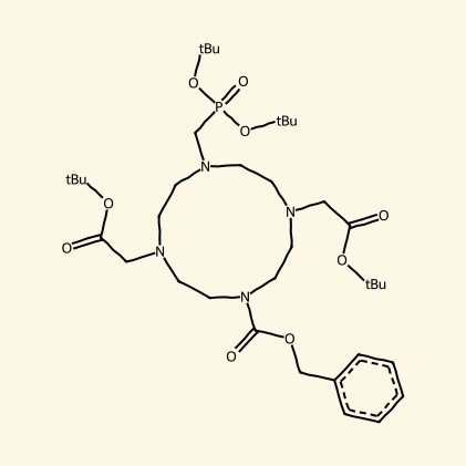 CC(C)(C)OC(=O)CN1CCN(CP(=O)(OC(C)(C)C)OC(C)(C)C)CCN(CC(=O)OC(C)(C)C)CCN(C(=O)OCc2ccccc2)CC1